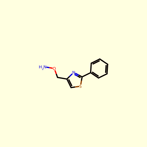 NOCc1csc(-c2ccccc2)n1